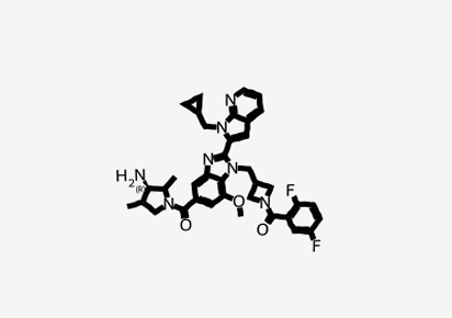 COc1cc(C(=O)N2CC(C)[C@@H](N)C2C)cc2nc(-c3cc4cccnc4n3CC3CC3)n(CC3CN(C(=O)c4cc(F)ccc4F)C3)c12